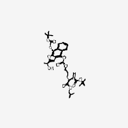 CC(C)COC(=O)[C@H](CCCOC(=O)Oc1c2ccccc2c(OC(=O)OC(C)(C)C)c2oc(C(C)O)cc12)NC(=O)OC(C)(C)C